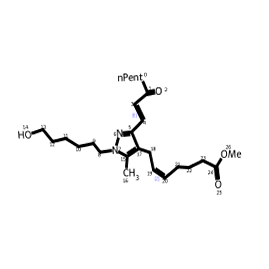 CCCCCC(=O)/C=C/c1nn(CCCCCCO)c(C)c1C/C=C\CCCC(=O)OC